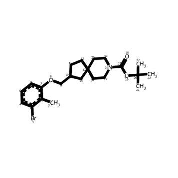 Cc1c(Br)cccc1OCC1CCC2(CCN(C(=O)OC(C)(C)C)CC2)C1